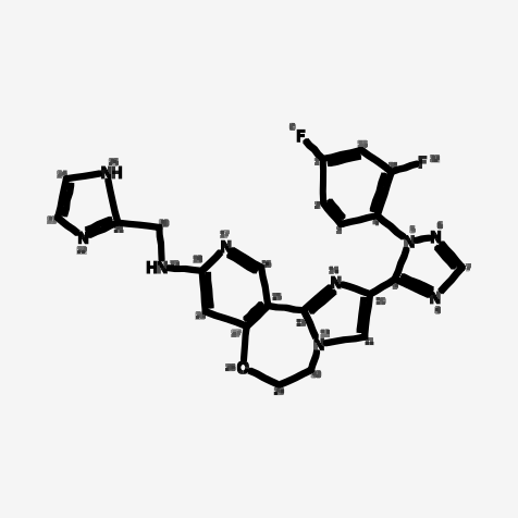 Fc1ccc(-n2ncnc2-c2cn3c(n2)-c2cnc(NCc4ncc[nH]4)cc2OCC3)c(F)c1